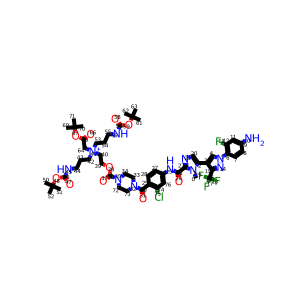 Cn1c(-c2cn(-c3ccc(N)cc3F)nc2C(F)(F)F)cnc1C(=O)Nc1ccc(C(=O)N2CCN(C(=O)OCC[N+](CCCNC(=O)OC(C)(C)C)(CCCNC(=O)OC(C)(C)C)CC(=O)OC(C)(C)C)CC2)c(Cl)c1